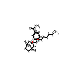 CCCCCCNCCN1[C@@H]2CC[C@H]1C[C@@H](c1cccc(C(N)=O)c1)C2